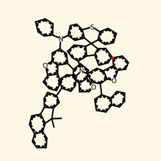 CC1(C)c2cc(-c3ccc(N(c4cc(-c5cccc6ccccc56)c5oc6ccccc6c5c4)c4cccc5c4-c4ccccc4C54c5ccccc5Sc5ccc(N(c6ccccc6)c6cc(-c7ccc8occc8c7)c7c(c6)oc6ccccc67)cc54)cc3)ccc2-c2ccc3ccccc3c21